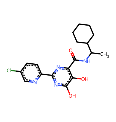 CC(NC(=O)c1nc(-c2ccc(Cl)cn2)nc(O)c1O)C1CCCCC1